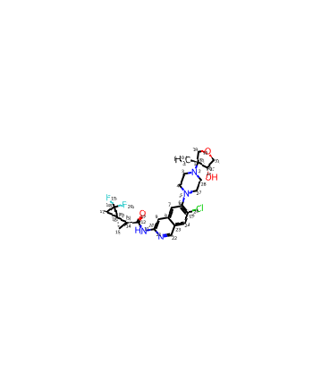 C[C@@]1(N2CCN(c3cc4cc(NC(=O)[C@H]5C[C@@]56CC6(F)F)ncc4cc3Cl)CC2)COC[C@@H]1O